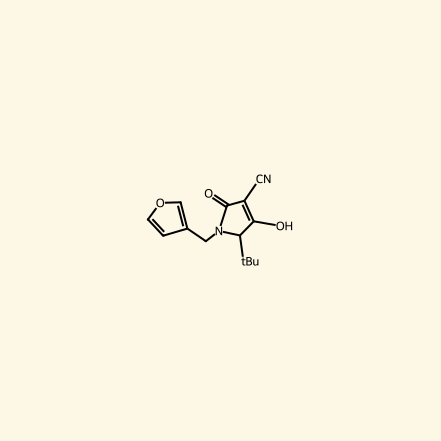 CC(C)(C)C1C(O)=C(C#N)C(=O)N1Cc1ccoc1